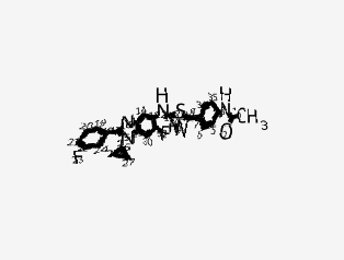 CC(=O)Nc1ccc(-c2nnc(Nc3cc4nc(-c5cccc(F)c5)n(C5CC5)c4cc3F)s2)cc1